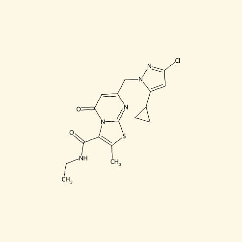 CCNC(=O)c1c(C)sc2nc(Cn3nc(Cl)cc3C3CC3)cc(=O)n12